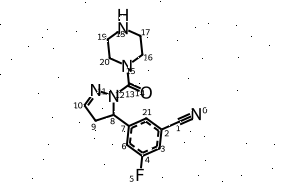 N#Cc1cc(F)cc(C2CC=NN2C(=O)N2CCNCC2)c1